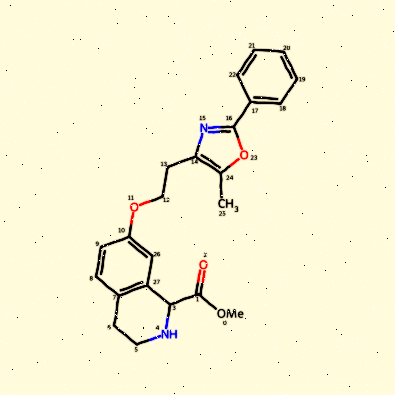 COC(=O)C1NCCc2ccc(OCCc3nc(-c4ccccc4)oc3C)cc21